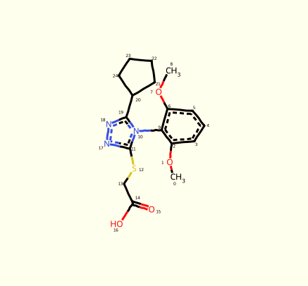 COc1cccc(OC)c1-n1c(SCC(=O)O)nnc1C1CCCC1